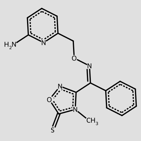 Cn1c(/C(=N\OCc2cccc(N)n2)c2ccccc2)noc1=S